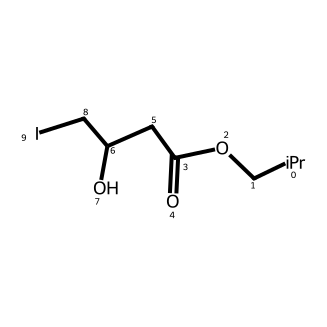 CC(C)COC(=O)CC(O)CI